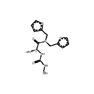 CCCC[C@H](NC(=O)NC(C)(C)C)C(=O)N(Cc1cccs1)Cc1cccs1